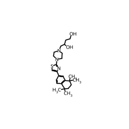 CC1(C)CCC(C)(C)c2cc(-c3csc(N4CCN(CC(O)CCO)CC4)n3)ccc21